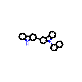 c1ccc2c(-n3c4ccccc4c4cc(-c5ccc6c(c5)[nH]c5ccccc56)ccc43)cccc2c1